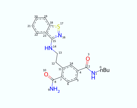 CCCCNC(=O)c1ccc(C(N)=O)c(CCNc2nsc3ccccc23)c1